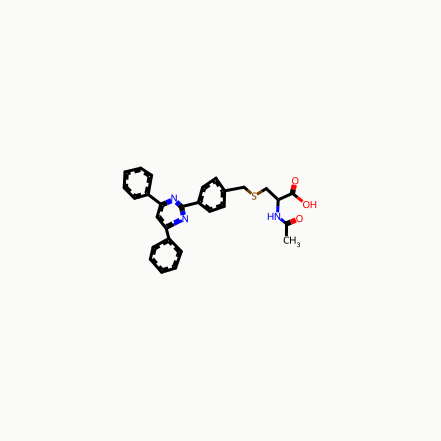 CC(=O)NC(CSCc1ccc(-c2nc(-c3ccccc3)cc(-c3ccccc3)n2)cc1)C(=O)O